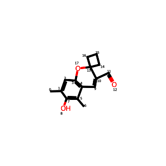 Cc1cc2c(c(C)c1O)C=C(C=O)C1(CCC1)O2